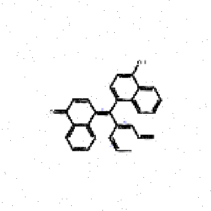 C=C/C=C(\C=C/C)C(=C1/C=CC(=O)c2ccccc21)/c1ccc(O)c2ccccc12